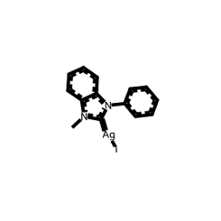 Cn1[c](=[Ag][I])n(-c2ccccc2)c2ccccc21